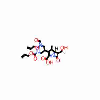 C=CCOC(=O)NCC(CN(C=O)OCC=C)C1=C(C(=O)O)N2C(=O)[C@H]([C@@H](C)O)[C@H]2C1C